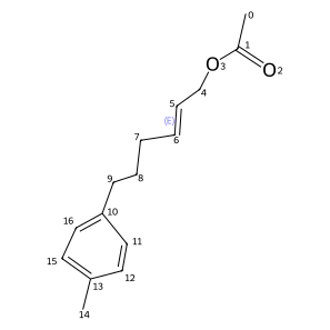 CC(=O)OC/C=C/CCCc1ccc(C)cc1